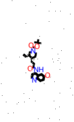 C=C[C@H]1CN(C(=O)OC(C)(C)C)CC[C@H]1CCC(=O)Nc1ccnc2ccc(OC)cc12